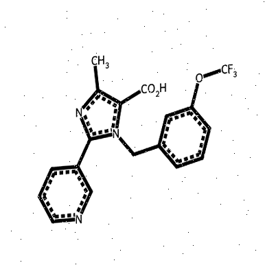 Cc1nc(-c2cccnc2)n(Cc2cccc(OC(F)(F)F)c2)c1C(=O)O